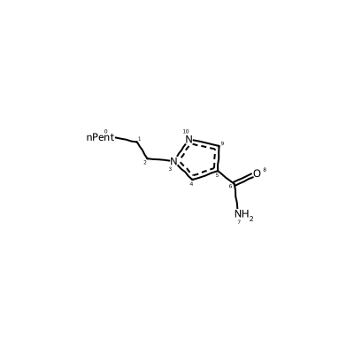 CCCCCCCn1cc(C(N)=O)cn1